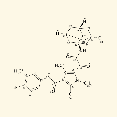 Cc1cc(NC(=O)c2c(C)c(C(=O)C(=O)N[C@@]34C[C@@H]5C[C@@H](C[C@@](O)(C5)C3)C4)n(C)c2C)cnc1F